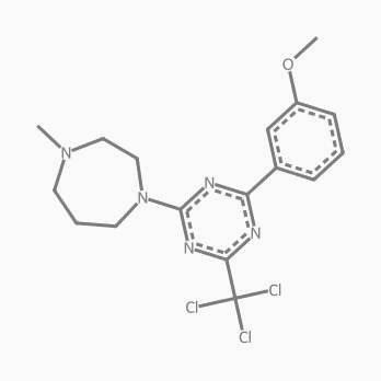 COc1cccc(-c2nc(N3CCCN(C)CC3)nc(C(Cl)(Cl)Cl)n2)c1